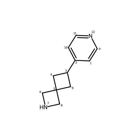 c1cc(C2CC3(CNC3)C2)ccn1